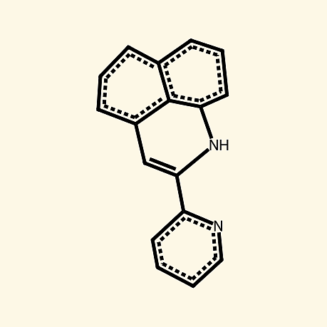 C1=C(c2ccccn2)Nc2cccc3cccc1c23